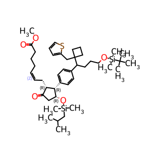 COC(=O)CCC/C=C\C[C@H]1C(=O)C[C@@H](O[Si](C)(C)CC(C)C)[C@H]1c1ccc(C(CCCO[Si](C)(C)C(C)(C)C)C2(Cc3cccs3)CCC2)cc1